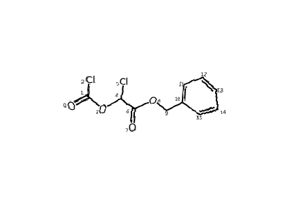 O=C(Cl)OC(Cl)C(=O)OCc1ccccc1